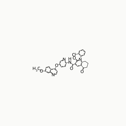 COc1ccc2c(Oc3ccc(NC(=O)c4cc5c(n(-c6ccccc6Cl)c4=O)CCCC5=O)nc3)ccnc2c1